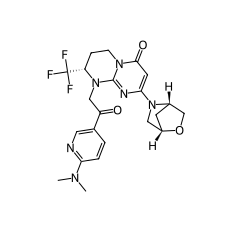 CN(C)c1ccc(C(=O)CN2c3nc(N4C[C@@H]5C[C@H]4CO5)cc(=O)n3CC[C@H]2C(F)(F)F)cn1